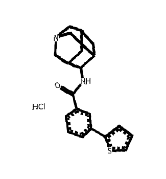 Cl.O=C(NC1C2CC3CC1CN(C3)C2)c1cccc(-c2cccs2)c1